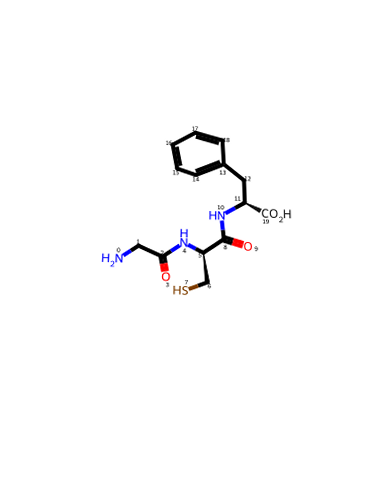 NCC(=O)N[C@H](CS)C(=O)N[C@@H](Cc1ccccc1)C(=O)O